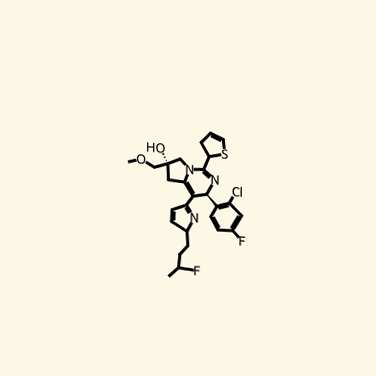 COC[C@]1(O)CC2=C(C3=NC(CCC(C)F)C=C3)[C@H](c3ccc(F)cc3Cl)N=C(C3CC=CS3)N2C1